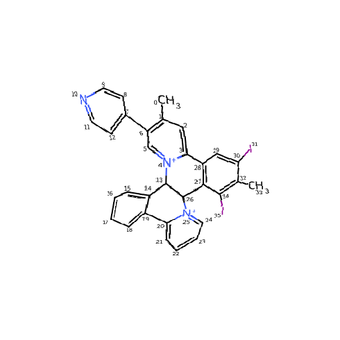 Cc1cc2[n+](cc1-c1ccncc1)C1c3ccccc3-c3cccc[n+]3C1c1c-2cc(I)c(C)c1I